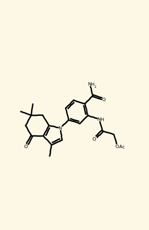 CC(=O)OCC(=O)Nc1cc(-n2cc(C)c3c2CC(C)(C)CC3=O)ccc1C(N)=O